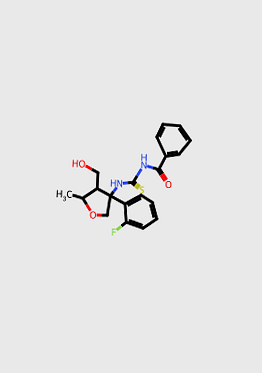 CC1OCC(NC(=S)NC(=O)c2ccccc2)(c2ccccc2F)C1CO